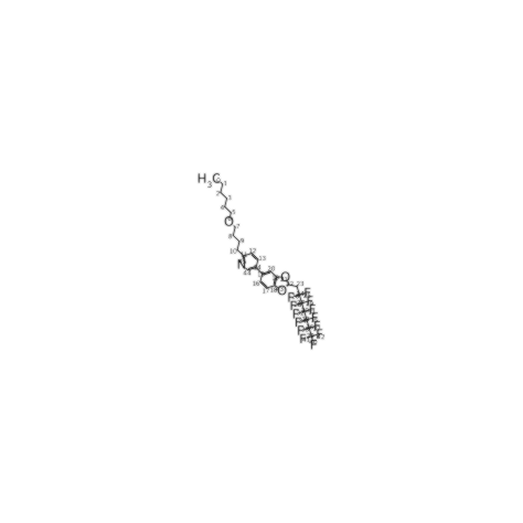 CCCCCCOCCCCc1ccc(-c2ccc3c(c2)OC(CC(F)(F)C(F)(F)C(F)(F)C(F)(F)C(F)(F)C(F)(F)F)O3)cn1